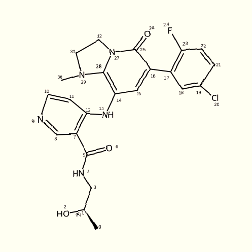 C[C@@H](O)CNC(=O)c1cnccc1Nc1cc(-c2cc(Cl)ccc2F)c(=O)n2c1N(C)CC2